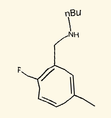 CCCCNCc1cc(C)ccc1F